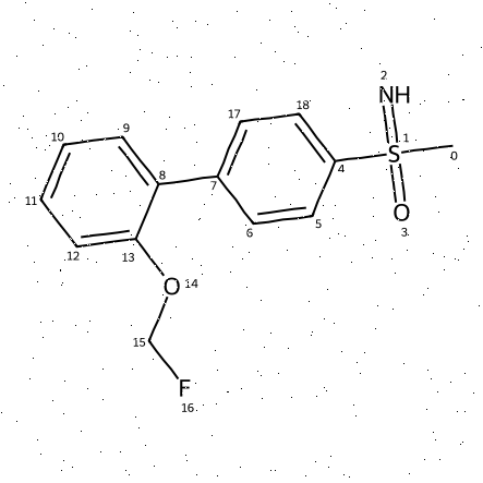 CS(=N)(=O)c1ccc(-c2ccccc2OCF)cc1